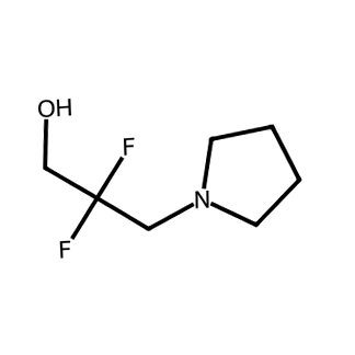 OCC(F)(F)CN1CCCC1